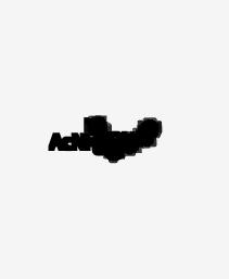 CC(=O)Nc1oc(-c2cccc(-c3ccc(-c4ccc5ccccc5c4)cc3)c2O)nc1-c1cccnc1